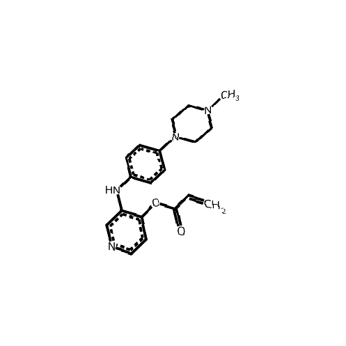 C=CC(=O)Oc1ccncc1Nc1ccc(N2CCN(C)CC2)cc1